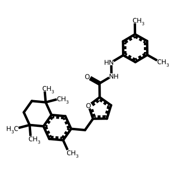 Cc1cc(C)cc(NNC(=O)c2ccc(Cc3cc4c(cc3C)C(C)(C)CCC4(C)C)o2)c1